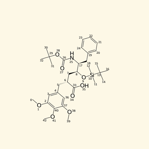 COc1cc(C[C@H](C[C@H](O[Si](C)(C)C(C)(C)C)[C@H](Cc2ccccc2)NC(=O)OC(C)(C)C)C(=O)O)cc(OC)c1OC